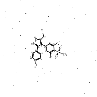 NS(=O)(=O)c1c(F)cc(-c2c(-c3ccc(Cl)cc3)noc2CF)cc1F